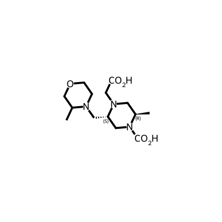 CC1COCCN1C[C@H]1CN(C(=O)O)[C@H](C)CN1CC(=O)O